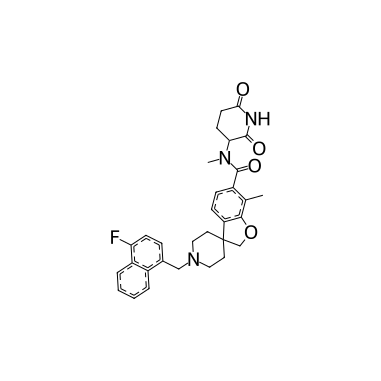 Cc1c(C(=O)N(C)C2CCC(=O)NC2=O)ccc2c1OCC21CCN(Cc2ccc(F)c3ccccc23)CC1